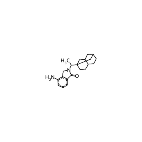 CC(N1Cc2c(N)cccc2C1=O)C12CCC3CCC(CC3C1)C2